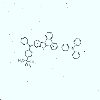 CS(C)(C)c1ccc(N(c2ccccc2)c2ccc3c(c2)sc2c4ccc(-c5ccc(N(c6ccccc6)c6ccccc6)cc5)cc4c4ccccc4c32)cc1